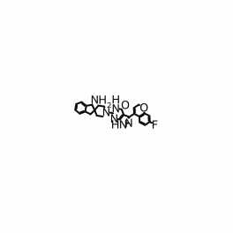 N[C@@H]1c2ccccc2CC12CCN(c1nc3[nH]nc(C4=CCOc5cc(F)ccc54)c3c(=O)[nH]1)CC2